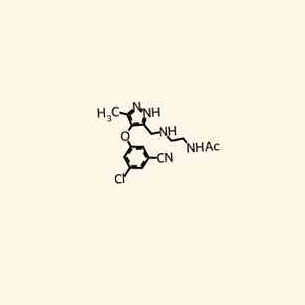 CC(=O)NCCNCc1[nH]nc(C)c1Oc1cc(Cl)cc(C#N)c1